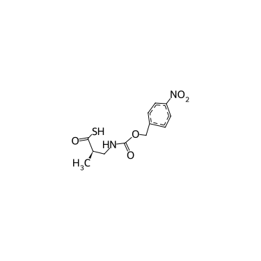 C[C@H](CNC(=O)OCc1ccc([N+](=O)[O-])cc1)C(=O)S